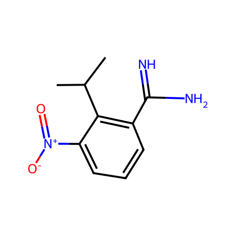 CC(C)c1c(C(=N)N)cccc1[N+](=O)[O-]